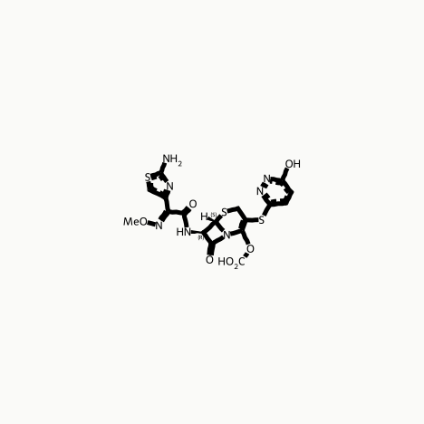 CON=C(C(=O)N[C@@H]1C(=O)N2C(OC(=O)O)=C(Sc3ccc(O)nn3)CS[C@@H]12)c1csc(N)n1